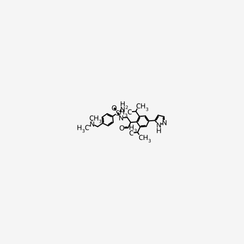 CC(C)c1cc(-c2ccn[nH]2)cc(C(C)C)c1C(C=O)CN=S(N)(=O)c1ccc(CN(C)C)cc1